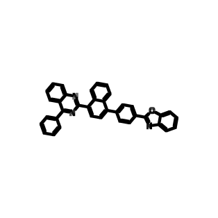 c1ccc(-c2nc(-c3ccc(-c4ccc(-c5nc6ccccc6o5)cc4)c4ccccc34)nc3ccccc23)cc1